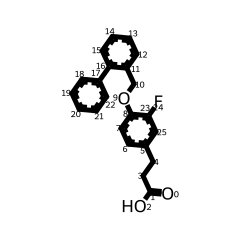 O=C(O)CCc1ccc(OCc2ccccc2-c2ccccc2)c(F)c1